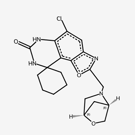 O=C1Nc2c(Cl)cc3nc(CN4C[C@H]5C[C@@H]4CO5)oc3c2C2(CCCCC2)N1